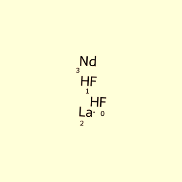 F.F.[La].[Nd]